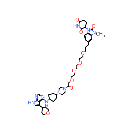 Cn1c(=O)n(C2CCC(=O)NC2=O)c2ccc(CCCOCCOCCOCCOCC(=O)N3CCN(C4CCC(Nc5ncnc6[nH]cc(C7CCOCC7)c56)CC4)CC3)cc21